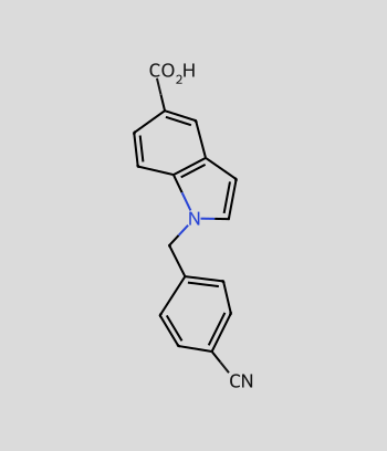 N#Cc1ccc(Cn2ccc3cc(C(=O)O)ccc32)cc1